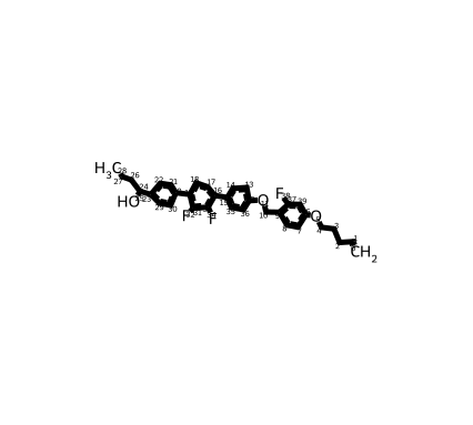 C=CCCCOc1ccc(COc2ccc(-c3ccc(-c4ccc(C(O)CCC)cc4)c(F)c3F)cc2)c(F)c1